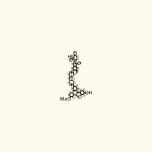 COc1cccc([C@H]2COc3cc(O)ccc3[C@H]2c2ccc(N3CCC(CN4CCN(c5cc6c(cc5F)C(=O)N([C@H]5CCC(=O)NC5=O)C6)CC4)CC3)cc2)c1